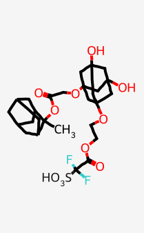 CC1(OC(=O)COC23CC4(O)CC(O)(CC(OCCOC(=O)C(F)(F)S(=O)(=O)O)(C4)C2)C3)C2CC3CC(C2)CC1C3